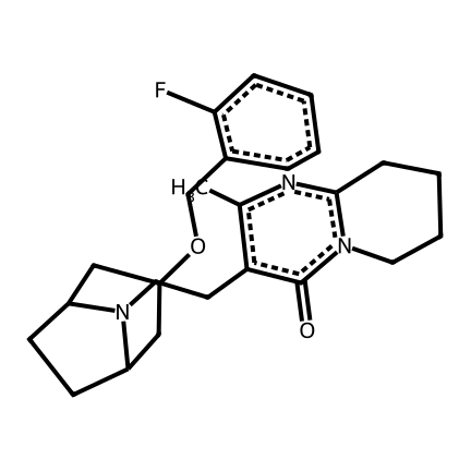 Cc1nc2n(c(=O)c1CCN1C3CCC1CC(OCc1ccccc1F)C3)CCCC2